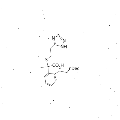 CCCCCCCCCCCCc1ccccc1C(C)(SCCc1nnn[nH]1)C(=O)O